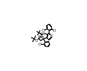 CC(C)(C)OC(=O)CC(O)(c1ccccc1Cl)c1ccnc(-c2c(Cl)cccc2Cl)c1NC(=O)C(C)(C)C